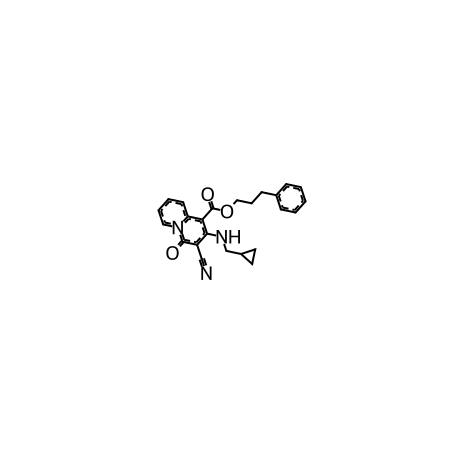 N#Cc1c(NCC2CC2)c(C(=O)OCCCc2ccccc2)c2ccccn2c1=O